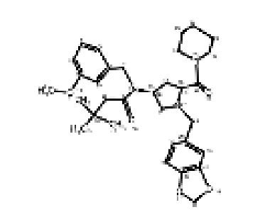 COc1cccc(CN(C(=O)CC(C)(C)C)[C@H]2C[C@@H](C(=O)N3CCCCC3)N(Cc3ccc4c(c3)OCO4)C2)c1